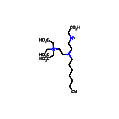 N#CCCCCCCN(CC[N+]CC(=O)O)CC[N+](CC(=O)O)(CC(=O)O)CC(=O)O